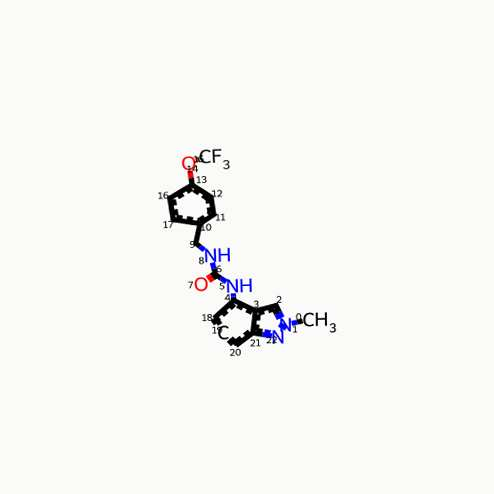 Cn1cc2c(NC(=O)NCc3ccc(OC(F)(F)F)cc3)cccc2n1